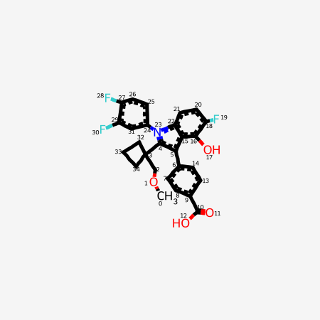 COCC1(c2c(-c3ccc(C(=O)O)cc3)c3c(O)c(F)ccc3n2-c2ccc(F)c(F)c2)CCC1